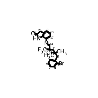 CC(C)(Cc1ccccc1Br)CC(O)(C=Nc1cccc2c1NC(=O)C2)C(F)(F)F